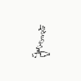 C=C(COc1ccc(-c2ccc(N(c3ccccc3)c3ccccc3)cc2)cc1)OC(=O)C(=C)C